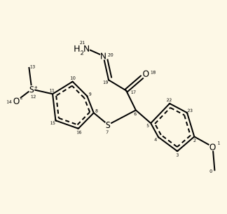 COc1ccc(C(Sc2ccc([S+](C)[O-])cc2)C(=O)C=NN)cc1